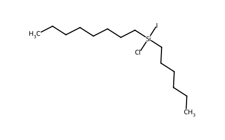 CCCCCCCC[Si](Cl)(I)CCCCCC